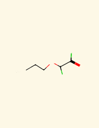 COCCOC(Cl)C(=O)Cl